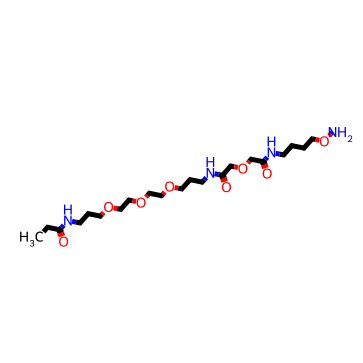 CCC(=O)NCCCOCCOCCOCCCNC(=O)COCC(=O)NCCCCON